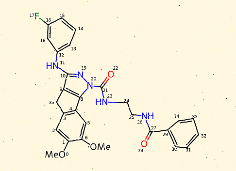 COc1cc2c(cc1OC)-c1c(c(Nc3cccc(F)c3)nn1C(=O)NCCNC(=O)c1ccccc1)C2